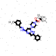 Cc1cccc(/C=N/Nc2cc(N3CCN(C(=O)OC(C)(C)C)CC3)n3nc(-c4ccccc4)cc3n2)c1